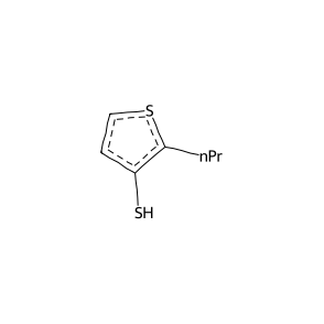 CCCc1sccc1S